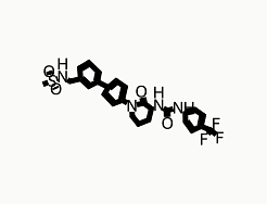 CS(=O)(=O)NCc1cccc(-c2ccc(N3CCC[C@@H](NC(=O)Nc4ccc(C(F)(F)F)cc4)C3=O)cc2)c1